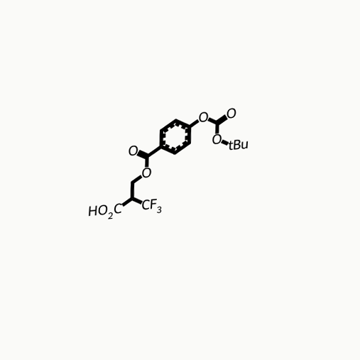 CC(C)(C)OC(=O)Oc1ccc(C(=O)OCC(C(=O)O)C(F)(F)F)cc1